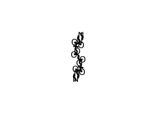 CN1CCN(C(=O)C(=O)C(C)(C)COC(=O)/C=C/C(=O)OCC(C)(C)C(=O)C(=O)N2CCN(C)CC2)CC1